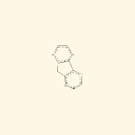 c1cnc2c(n1)Cc1nccnc1-2